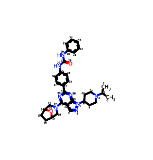 CC(C)N1CCC(n2ncc3c(N4CC5CCC(C4)O5)nc(-c4ccc(NC(=O)Nc5ccccc5)cc4)nc32)CC1